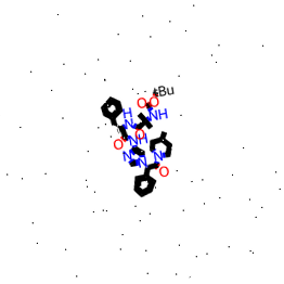 CC1CCN(C(=O)C(c2ccccc2)n2cnc(NC(=O)[C@@H](Cc3ccccc3)NC(=O)C(C)(C)NC(=O)OC(C)(C)C)c2)CC1